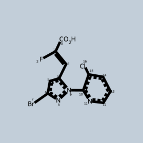 O=C(O)/C(F)=C/c1cc(Br)nn1-c1ncccc1Cl